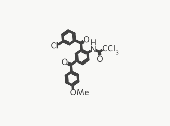 COc1ccc(C(=O)c2ccc(NC(=O)C(Cl)(Cl)Cl)c(C(=O)c3cccc(Cl)c3)c2)cc1